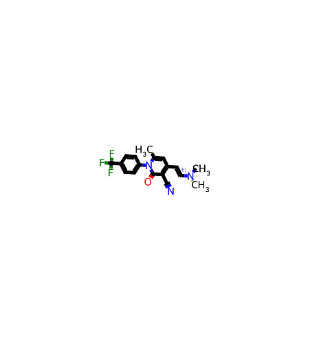 Cc1cc(/C=C/N(C)C)c(C#N)c(=O)n1-c1ccc(C(F)(F)F)cc1